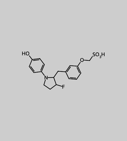 O=S(=O)(O)COc1cccc(CC2C(F)CCN2c2ccc(O)cc2)c1